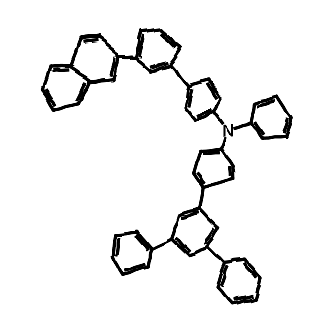 c1ccc(-c2cc(-c3ccccc3)cc(-c3ccc(N(c4ccccc4)c4ccc(-c5cccc(-c6ccc7ccccc7c6)c5)cc4)cc3)c2)cc1